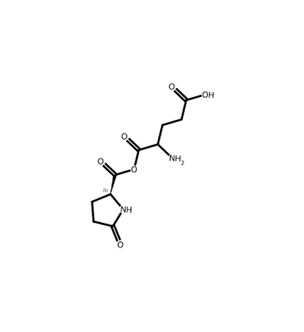 NC(CCC(=O)O)C(=O)OC(=O)[C@@H]1CCC(=O)N1